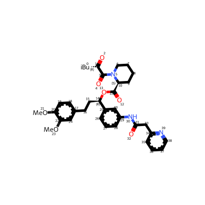 CC[C@@H](C)C(=O)C(=O)N1CCCC[C@H]1C(=O)O[C@H](CCc1ccc(OC)c(OC)c1)c1cccc(NC(=O)Cc2ccccn2)c1